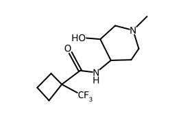 CN1CCC(NC(=O)C2(C(F)(F)F)CCC2)C(O)C1